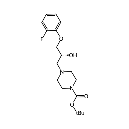 CC(C)(C)OC(=O)N1CCN(C[C@@H](O)COc2ccccc2F)CC1